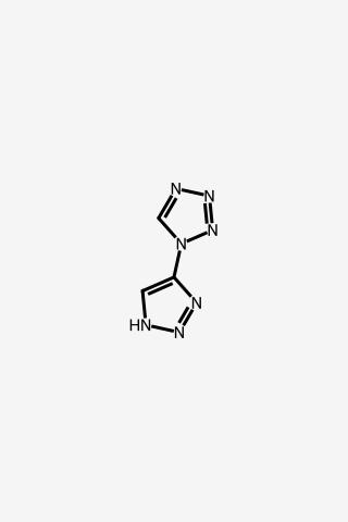 c1[nH]nnc1-n1cnnn1